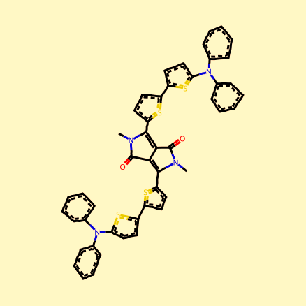 CN1C(=O)C2=C(c3ccc(-c4ccc(N(c5ccccc5)c5ccccc5)s4)s3)N(C)C(=O)C2=C1c1ccc(-c2ccc(N(c3ccccc3)c3ccccc3)s2)s1